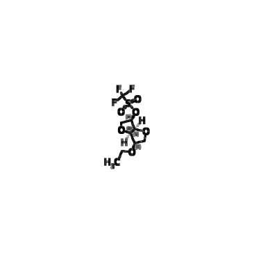 CCO[C@@H]1CO[C@H]2[C@@H]1OC[C@H]2OS(=O)(=O)C(F)(F)F